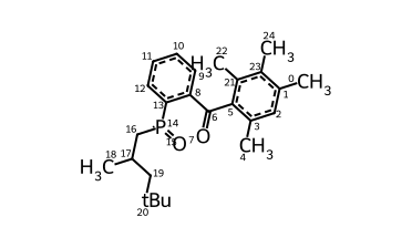 Cc1cc(C)c(C(=O)c2ccccc2[P](=O)CC(C)CC(C)(C)C)c(C)c1C